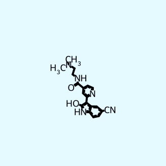 CN(C)CCNC(=O)c1ccnc(-c2c(O)[nH]c3ccc(C#N)cc23)c1